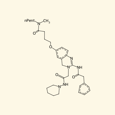 CCCCCN(C)C(=O)CCCOc1ccc2c(c1)CN(CC(=O)NN1CCCCC1)C(NC(=O)Cc1ccccc1)=N2